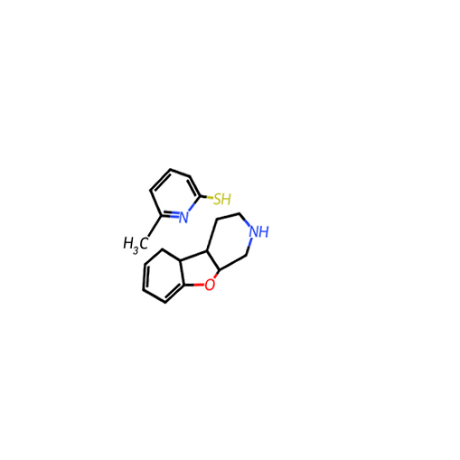 C1=CCC2C(=C1)OC1CNCCC12.Cc1cccc(S)n1